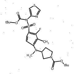 Cc1c(N(C)C2CCN(C(=O)OC(C)(C)C)C2)ccc(S(=O)(=O)N(C(=O)OC(C)(C)C)c2cscn2)c1F